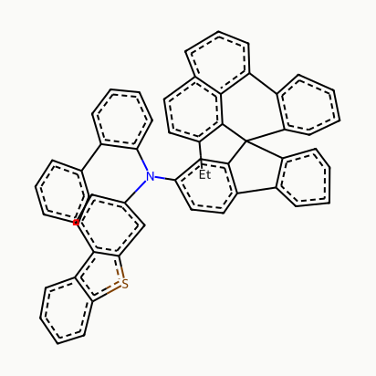 CCc1ccc2cccc3c2c1C1(c2ccccc2-c2ccc(N(c4ccc5c(c4)sc4ccccc45)c4ccccc4-c4ccccc4)cc21)c1ccccc1-3